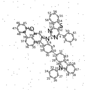 c1ccc(-c2nc(-n3c4cc(-c5ccc6c7ccccc7n(-c7ccccc7)c6c5)ccc4c4c5cccc6c5c(cc43)Oc3ccccc3-6)nc3c2sc2ccccc23)cc1